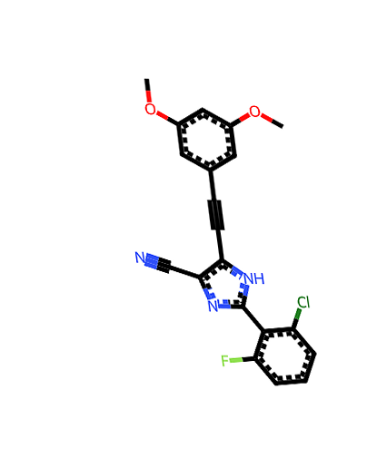 COc1cc(C#Cc2[nH]c(-c3c(F)cccc3Cl)nc2C#N)cc(OC)c1